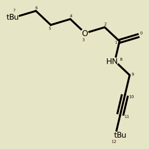 C=C(COCCCC(C)(C)C)NCC#CC(C)(C)C